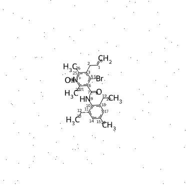 C=CCc1c(Br)c(C(=O)Nc2c(CC)cc(C)cc2CC)c(C)[n+]([O-])c1C